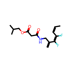 C=C(CNC(=O)CC(=O)OCC(C)C)/C(F)=C(F)\C=C/C